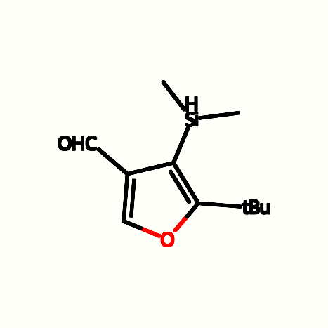 C[SiH](C)c1c(C=O)coc1C(C)(C)C